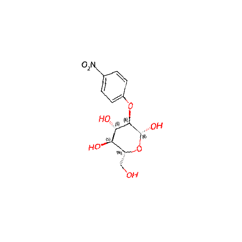 O=[N+]([O-])c1ccc(O[C@@H]2[C@@H](O)[C@H](O)[C@@H](CO)O[C@H]2O)cc1